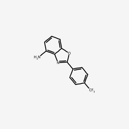 Nc1cccc2oc(-c3ccc(C(F)(F)F)cc3)nc12